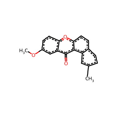 COc1ccc2oc3ccc4ccc(C)cc4c3c(=O)c2c1